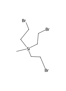 C[Si](CCBr)(CCBr)CCBr